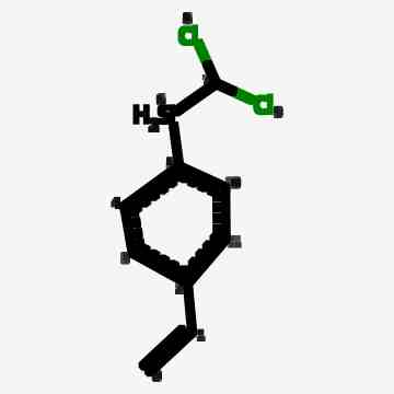 C=Cc1ccc([SiH2]C(Cl)Cl)cc1